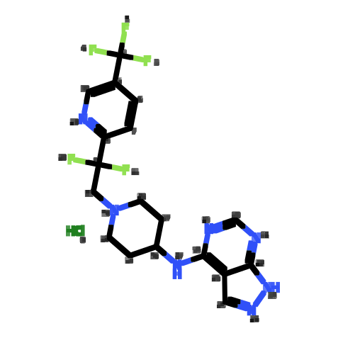 Cl.FC(F)(F)c1ccc(C(F)(F)CN2CCC(Nc3ncnc4[nH]ncc34)CC2)nc1